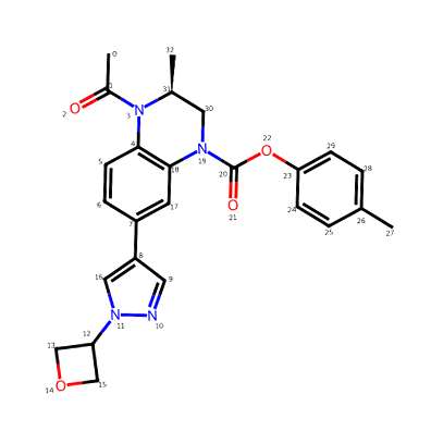 CC(=O)N1c2ccc(-c3cnn(C4COC4)c3)cc2N(C(=O)Oc2ccc(C)cc2)C[C@@H]1C